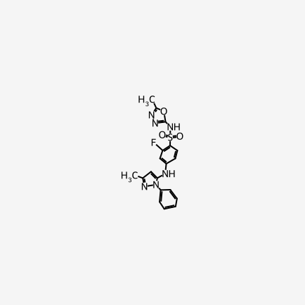 Cc1cc(Nc2ccc(S(=O)(=O)Nc3nnc(C)o3)c(F)c2)n(-c2ccccc2)n1